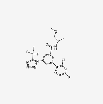 COCC(C)NC(=O)c1cc(-c2ccc(F)cc2Cl)cc(-n2nnnc2C(F)(F)F)c1